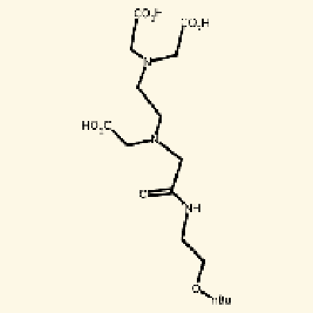 CCCCOCCNC(=O)CN(CCN(CC(=O)O)CC(=O)O)CC(=O)O